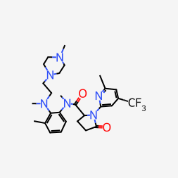 Cc1cc(C(F)(F)F)cc(N2C(=O)CCC2C(=O)N(C)c2cccc(C)c2N(C)CCN2CCN(C)CC2)n1